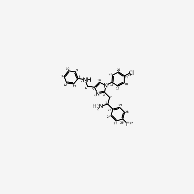 NC(Cc1nc(CNc2ccccc2)cn1-c1ccc(Cl)cc1)c1ccc(F)cc1